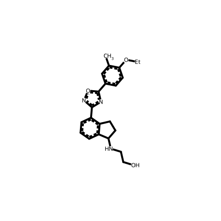 CCOc1ccc(-c2nc(-c3cccc4c3CCC4NCCO)no2)cc1C